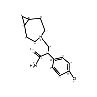 NC(=O)[C@@H](CN1CCC2CC2CC1)c1ccc(Cl)cc1